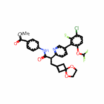 COC(=O)c1ccc(NC(=O)C(CC2CC3(C2)OCCO3)c2ccc(-c3c(OC(F)F)ccc(Cl)c3F)cn2)cc1